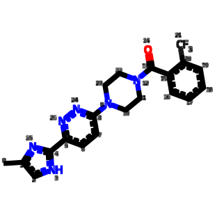 Cc1c[nH]c(-c2ccc(N3CCN(C(=O)c4ccccc4C(F)(F)F)CC3)nn2)n1